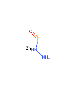 NNP=O.[Zn]